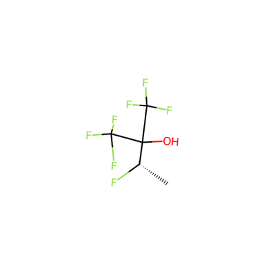 C[C@H](F)C(O)(C(F)(F)F)C(F)(F)F